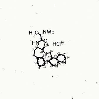 CN[C@@H](C)C(=O)N[C@H]1CCc2ccccc2N(Cc2c(Cl)cnc3ncccc23)C1=O.Cl